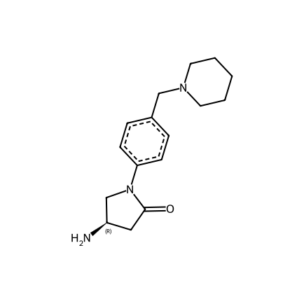 N[C@@H]1CC(=O)N(c2ccc(CN3CCCCC3)cc2)C1